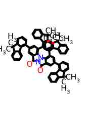 CC1(C)c2ccccc2-c2c(-c3cc(-c4cccc5c4-c4ccccc4C5(C)C)c4c(c3)c(=O)n3c(=O)c5cc(-c6cccc7c6-c6ccccc6C7(C)C)cc(-c6cccc7c6-c6ccccc6C7(C)C)c5n43)cccc21